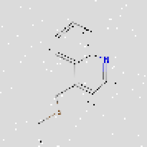 CSCc1ccnc2ccccc12